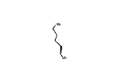 [CH2]CC/C=C/CCCCCCC